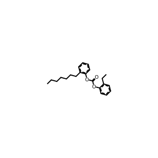 CCCCCCCc1ccccc1OC(=O)Oc1ccccc1CC